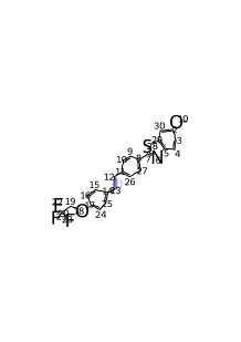 COc1ccc2nc(-c3ccc(/C=C/c4ccc(OCC(F)(F)F)cc4)cc3)sc2c1